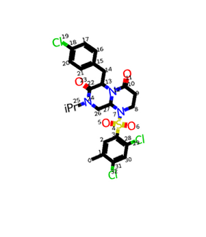 Cc1cc(S(=O)(=O)N2CCC(=O)N3C(Cc4ccc(Cl)cc4)C(=O)N(C(C)C)CC32)c(Cl)cc1Cl